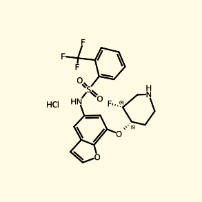 Cl.O=S(=O)(Nc1cc(O[C@H]2CCNC[C@H]2F)c2occc2c1)c1ccccc1C(F)(F)F